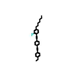 CCCCCCCc1ccc(C#Cc2ccc(C#Cc3ccc(CC)cc3)cc2)c(F)c1